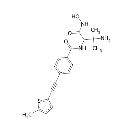 Cc1ccc(C#Cc2ccc(C(=O)NC(C(=O)NO)C(C)(C)N)cc2)s1